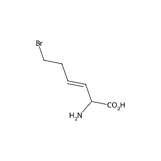 NC(C=CCCBr)C(=O)O